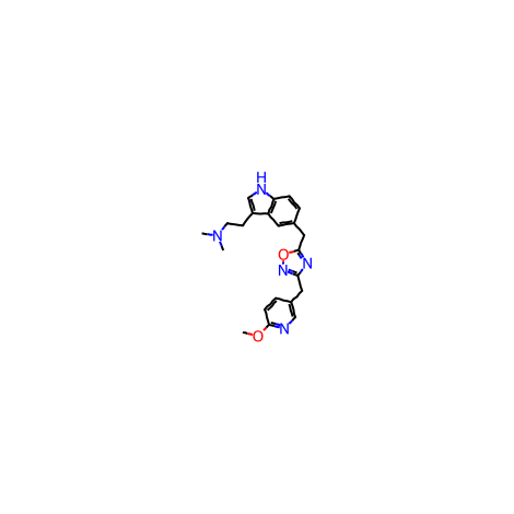 COc1ccc(Cc2noc(Cc3ccc4[nH]cc(CCN(C)C)c4c3)n2)cn1